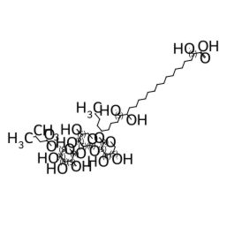 CCCCC(CCC[C@H](O)C(O)CCCCCCCCCCCCCC[C@H](O)C(=O)O)O[C@H]1OC[C@H](O)[C@@H](O)[C@@H]1O[C@H]1OC[C@H](O)[C@@H](O)[C@@H]1O[C@H]1O[C@@H](COC(=O)CC(C)C)[C@H](O)[C@@H](O)[C@@H]1O